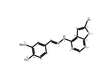 COc1cc(C=NNc2ncnc3sc(C(C)C)cc23)ccc1O